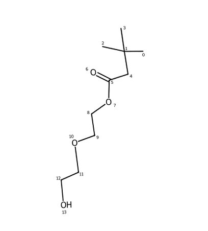 CC(C)(C)CC(=O)OCCOCCO